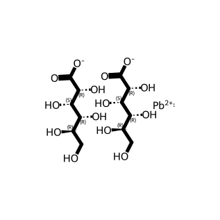 O=C([O-])[C@H](O)[C@@H](O)[C@H](O)[C@H](O)CO.O=C([O-])[C@H](O)[C@@H](O)[C@H](O)[C@H](O)CO.[Pb+2]